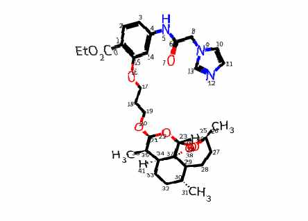 CCOC(=O)c1ccc(NC(=O)Cn2ccnc2)cc1OCCCO[C@H]1O[C@@H]2O[C@@]3(C)CCC4[C@H](C)CC[C@@H]([C@H]1C)[C@]42OO3